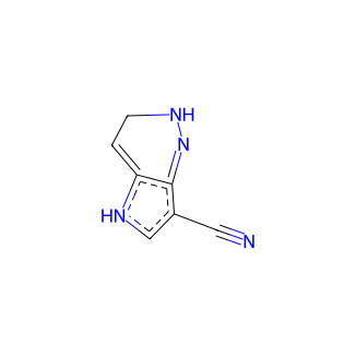 N#Cc1c[nH]c2c1=NNCC=2